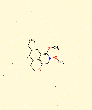 CCC1CC2=C(OC)N(OC)CC3=C2C(CCO3)C1